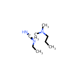 CCCN(C)C.CCN=C=N